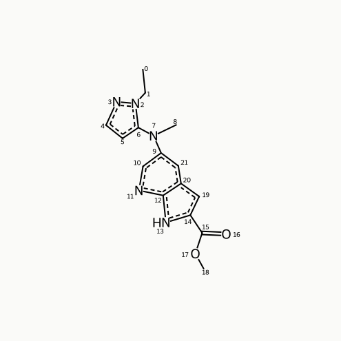 CCn1nccc1N(C)c1cnc2[nH]c(C(=O)OC)cc2c1